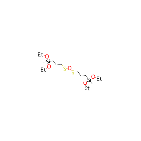 CCO[Si](C)(CCCSOSCCC[Si](C)(OCC)OCC)OCC